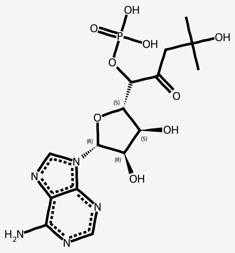 CC(C)(O)CC(=O)C(OP(=O)(O)O)[C@H]1O[C@@H](n2cnc3c(N)ncnc32)[C@H](O)[C@@H]1O